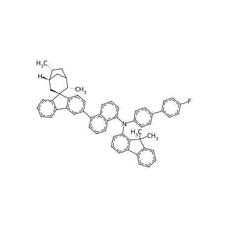 C[C@@H]1CC2C[C@@H]1C[C@@]1(c3ccccc3-c3cc(-c4cccc5c(N(c6ccc(-c7ccc(F)cc7)cc6)c6cccc7c6C(C)(C)c6ccccc6-7)cccc45)ccc31)[C@H]2C